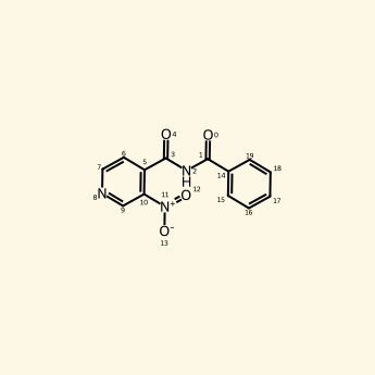 O=C(NC(=O)c1ccncc1[N+](=O)[O-])c1ccccc1